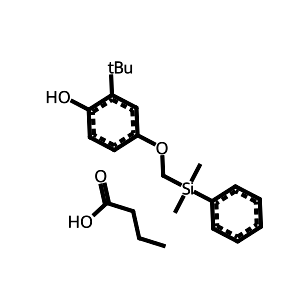 CC(C)(C)c1cc(OC[Si](C)(C)c2ccccc2)ccc1O.CCCC(=O)O